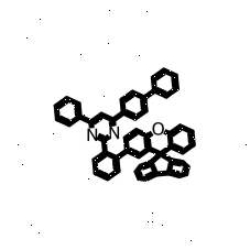 c1ccc(-c2ccc(-c3cc(-c4ccccc4)nc(-c4ccccc4-c4ccc5c(c4)C4(c6ccccc6O5)c5ccccc5-c5ccccc54)n3)cc2)cc1